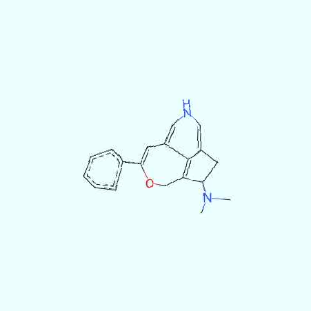 CN(C)C1CC2=CNC=C3C=C(c4ccccc4)OCC1=C32